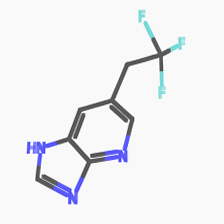 FC(F)(F)Cc1cnc2nc[nH]c2c1